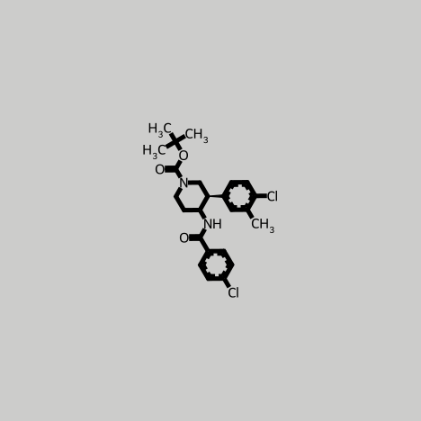 Cc1cc([C@@H]2CN(C(=O)OC(C)(C)C)CCC2NC(=O)c2ccc(Cl)cc2)ccc1Cl